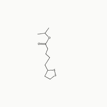 CC(C)OC(=O)CCCCC1CCSS1